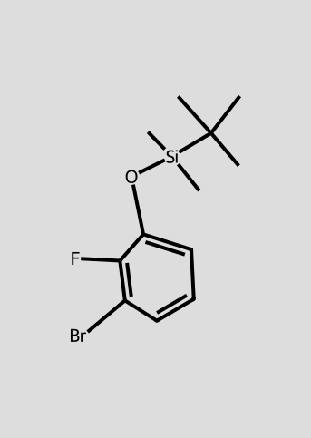 CC(C)(C)[Si](C)(C)Oc1cccc(Br)c1F